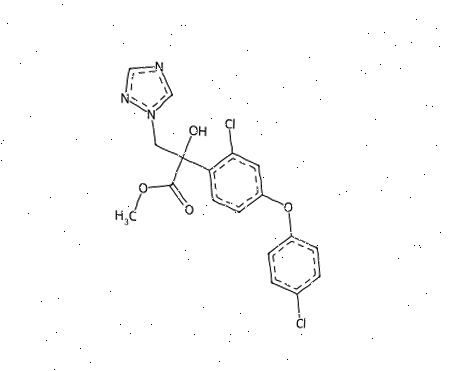 COC(=O)C(O)(Cn1cncn1)c1ccc(Oc2ccc(Cl)cc2)cc1Cl